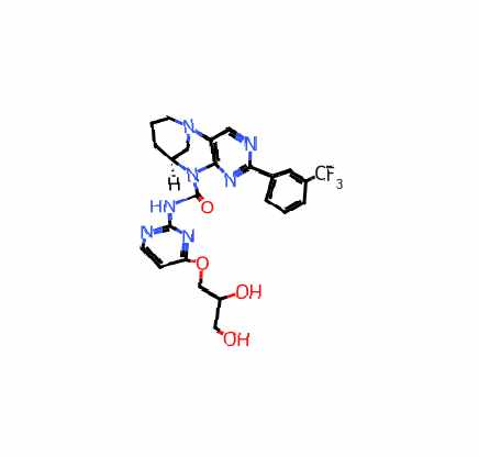 O=C(Nc1nccc(OCC(O)CO)n1)N1c2nc(-c3cccc(C(F)(F)F)c3)ncc2N2CCC[C@H]1C2